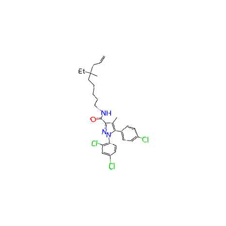 C=CCC(C)(CC)CCCCCNC(=O)c1nn(-c2ccc(Cl)cc2Cl)c(-c2ccc(Cl)cc2)c1C